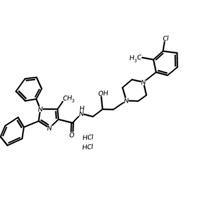 Cc1c(Cl)cccc1N1CCN(CC(O)CNC(=O)c2nc(-c3ccccc3)n(-c3ccccc3)c2C)CC1.Cl.Cl